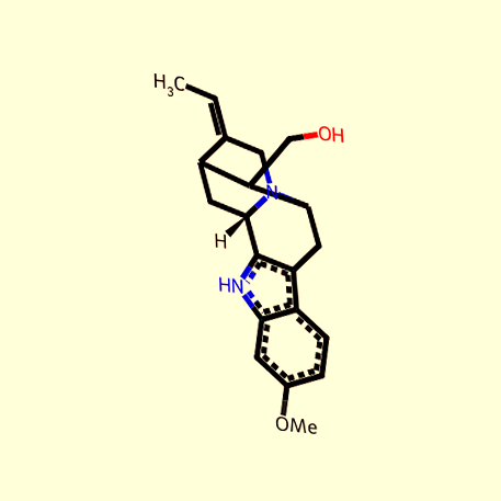 C/C=C1/CN2C3Cc4c([nH]c5cc(OC)ccc45)[C@@H]2CC1C3CO